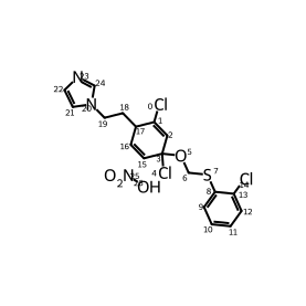 ClC1=CC(Cl)(OCSc2ccccc2Cl)C=CC1CCn1ccnc1.O=[N+]([O-])O